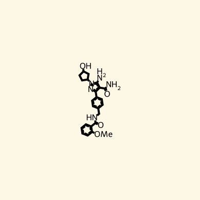 COc1ccccc1C(=O)NCc1ccc(-c2nn(C3CCC(O)C3)c(N)c2C(N)=O)cc1